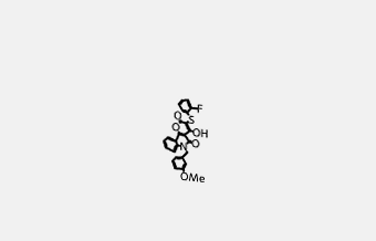 COc1cccc(Cn2c(=O)c3c(O)c(Sc4ccccc4F)c(=O)oc3c3ccccc32)c1